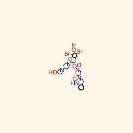 O=C(O[C@H](Cc1cc(Br)c(O)c(Br)c1)C(=O)N1CCC(N2CC[C@@H](O)C2)CC1)N1CCC(N2CCc3ccccc3NC2=O)CC1